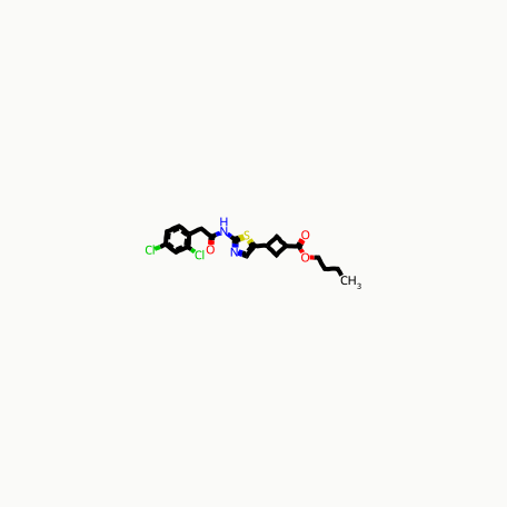 CCCCOC(=O)C1CC(c2cnc(NC(=O)Cc3ccc(Cl)cc3Cl)s2)C1